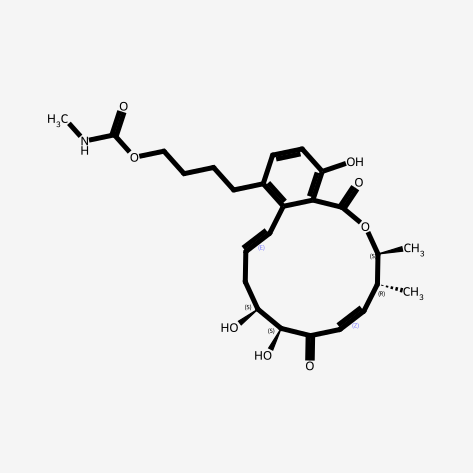 CNC(=O)OCCCCc1ccc(O)c2c1/C=C/C[C@H](O)[C@H](O)C(=O)/C=C\[C@@H](C)[C@H](C)OC2=O